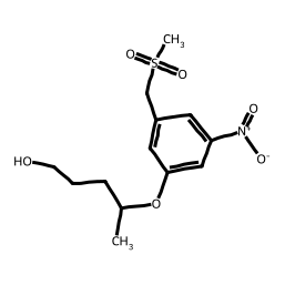 CC(CCCO)Oc1cc(CS(C)(=O)=O)cc([N+](=O)[O-])c1